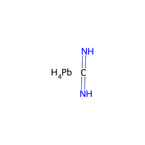 N=C=N.[PbH4]